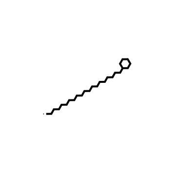 [CH2]CCCCCCCCCCCCCCCCCCCC1CCCCC1